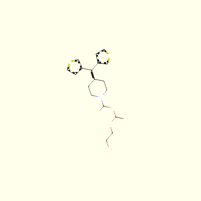 CC(OCCO)OC(C)N1CCC(=C(c2ccsc2)c2ccsc2)CC1